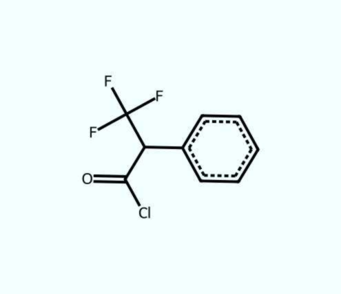 O=C(Cl)C(c1ccccc1)C(F)(F)F